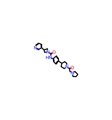 O=C(CN1CCCC1)N1CCC(c2ccc(NC(=O)N3CC(c4cccnc4)C3)cc2)CC1